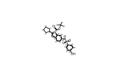 CC(C)(C)OC(=O)n1c(C2CCCC2)nc2ccc(NS(=O)(=O)c3ccc(O)cc3)cc21